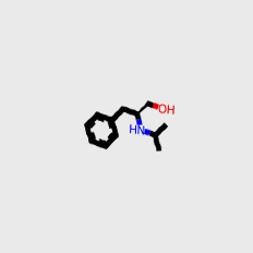 CC(C)N[C@H](CO)Cc1ccccc1